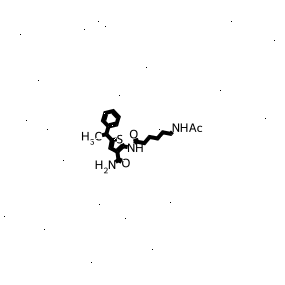 CC(=O)NCCCCCC(=O)Nc1sc(C(C)c2ccccc2)cc1C(N)=O